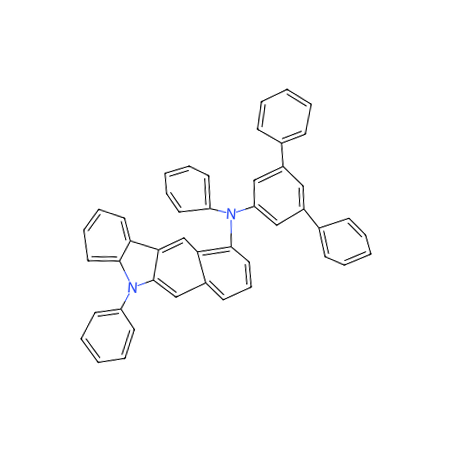 c1ccc(-c2cc(-c3ccccc3)cc(N(c3ccccc3)c3cccc4cc5c(cc34)c3ccccc3n5-c3ccccc3)c2)cc1